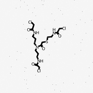 O=C(CCl)NCCCN(CCCNC(=O)CCl)C(=O)CSCCNC(=O)CCl